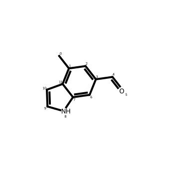 Cc1cc(C=O)cc2[nH]ccc12